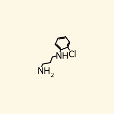 NCCCNc1ccccc1Cl